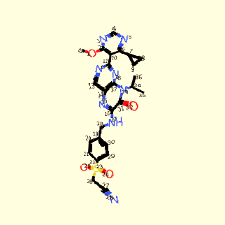 COc1ncnc(C2CC2)c1-c1ncc2nc(NCc3ccc(S(=O)(=O)CC#N)cc3)c(=O)n(C(C)C)c2n1